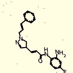 Nc1cc(F)ccc1NC(=O)/C=C/C1C=NN(C/C=C/c2ccccc2)C1